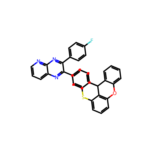 Fc1ccc(-c2nc3ncccc3nc2-c2ccc(C34c5ccccc5Oc5cccc(c53)Sc3ccccc34)cc2)cc1